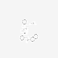 NCCNC(=O)[C@H](Cc1ccccc1)NC(=O)c1ccccc1NC(=O)c1ccc2ccccc2c1